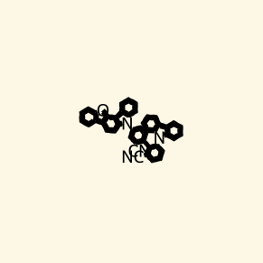 N#Cc1cc(-n2c3ccccc3c3c4oc5ccccc5c4ccc32)ccc1-c1c(C#N)cccc1-n1c2ccccc2c2ccccc21